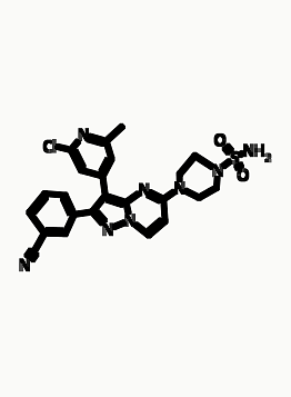 Cc1cc(-c2c(-c3cccc(C#N)c3)nn3ccc(N4CCN(S(N)(=O)=O)CC4)nc23)cc(Cl)n1